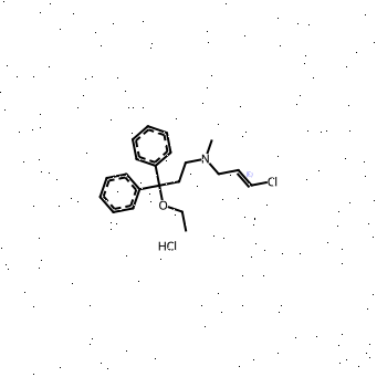 CCOC(CCN(C)C/C=C/Cl)(c1ccccc1)c1ccccc1.Cl